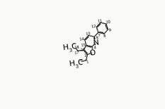 CCc1oc2nc(-c3ccccc3)ccc2c1CC